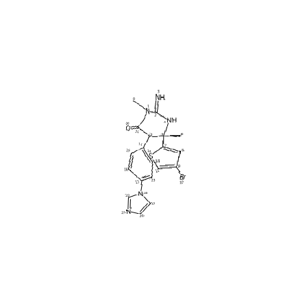 CN1C(=N)N[C@](C)(c2cc(Br)cs2)C(c2ccc(-n3ccnc3)cc2)C1=O